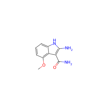 COc1cccc2[nH]c(N)c(C(N)=O)c12